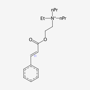 CCC[N+](CC)(CCC)CCOC(=O)/C=C/c1ccccc1